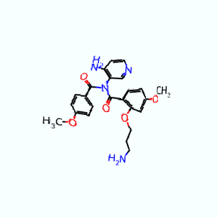 COc1ccc(C(=O)N(C(=O)c2ccc(OC)cc2OCCCN)c2cnccc2N)cc1